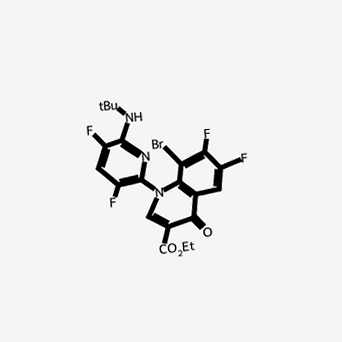 CCOC(=O)c1cn(-c2nc(NC(C)(C)C)c(F)cc2F)c2c(Br)c(F)c(F)cc2c1=O